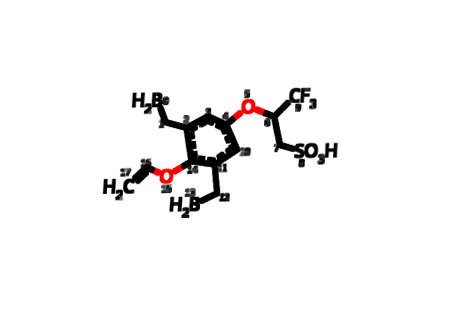 BCc1cc(OC(CS(=O)(=O)O)C(F)(F)F)cc(CB)c1OC=C